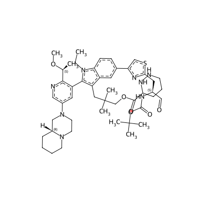 CCn1c(-c2cc(N3CCN4CCCC[C@@H]4C3)cnc2[C@H](C)OC)c(CC(C)(C)COC(=O)C2CCCNN2)c2cc(-c3csc(C[C@@H](C=O)NC(=O)OC(C)(C)C)n3)ccc21